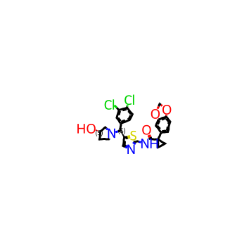 O=C(Nc1ncc([C@H](c2ccc(Cl)c(Cl)c2)N2CC[C@H](O)C2)s1)C1(c2ccc3c(c2)OCO3)CC1